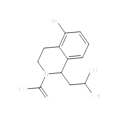 CC(C)CC1c2cccc(Br)c2CCN1C(=O)O